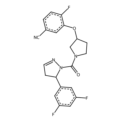 N#Cc1ccc(F)c(OC2CCN(C(=O)N3N=CCC3c3cc(F)cc(F)c3)C2)c1